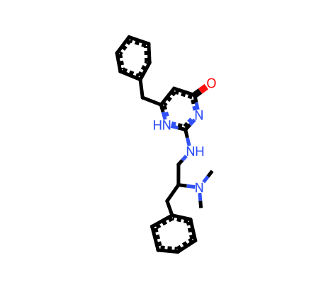 CN(C)C(CNc1nc(=O)cc(Cc2ccccc2)[nH]1)Cc1ccccc1